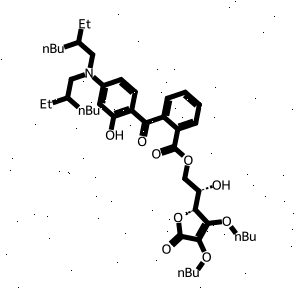 CCCCOC1=C(OCCCC)[C@@H]([C@@H](O)COC(=O)c2ccccc2C(=O)c2ccc(N(CC(CC)CCCC)CC(CC)CCCC)cc2O)OC1=O